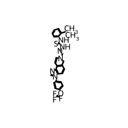 CC(C)c1ccccc1NC(=S)N/N=C/N1C=Cc2c(ccc3c2ncn3-c2ccc(OC(F)(F)F)cc2)C1